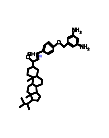 CC(C)C(C)C1CCC2C3CCC4CC(C(/C=C/c5ccc(OCc6cc(N)cc(N)c6)cc5)OO)CCC4(C)C3CCC12C